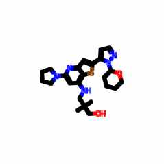 CC(C)(CO)CNc1cc(N2CCCC2)nc2cc(-c3ccnn3C3CCCCO3)sc12